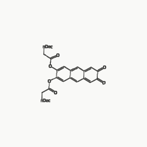 CCCCCCCCCCCC(=O)Oc1cc2cc3c(cc2cc1OC(=O)CCCCCCCCCCC)=CC(=O)C(=O)C=3